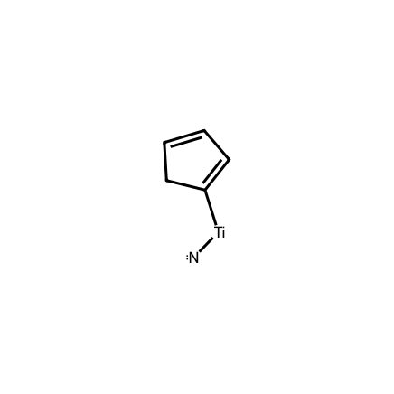 [N][Ti][C]1=CC=CC1